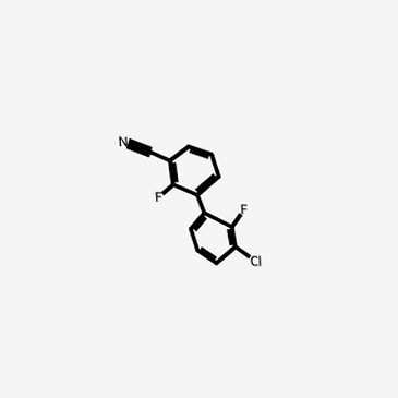 N#Cc1cccc(-c2cccc(Cl)c2F)c1F